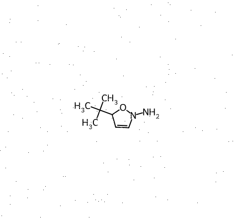 CC(C)(C)C1C=CN(N)O1